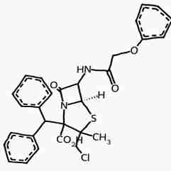 CC1(CCl)S[C@@H]2C(NC(=O)COc3ccccc3)C(=O)N2C1(C(=O)O)C(c1ccccc1)c1ccccc1